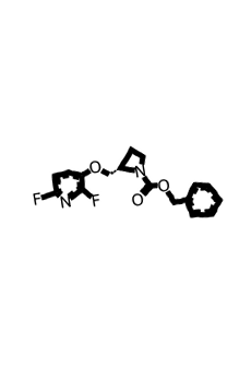 O=C(OCc1ccccc1)N1CC[C@H]1COc1ccc(F)nc1F